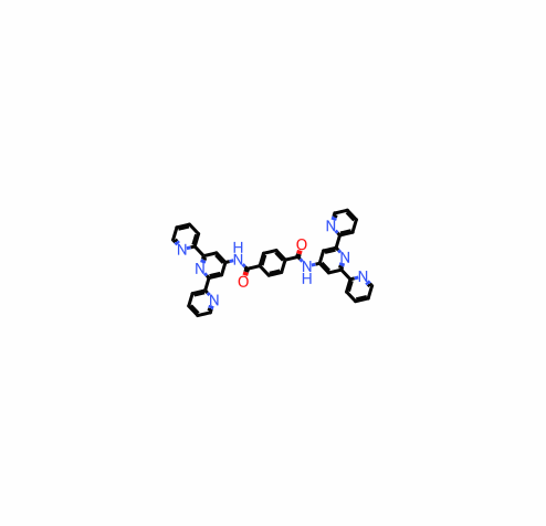 O=C(Nc1cc(-c2ccccn2)nc(-c2ccccn2)c1)c1ccc(C(=O)Nc2cc(-c3ccccn3)nc(-c3ccccn3)c2)cc1